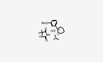 CC1(C)NC(=O)NC1=O.COc1cccc([C@@]2(O)CCCC[C@@H]2CN(C)C)c1